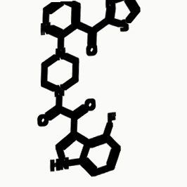 O=C(c1nccs1)c1cccnc1N1CCN(C(=O)C(=O)c2c[nH]c3cccc(F)c23)CC1